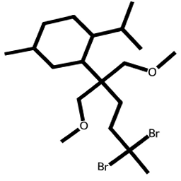 COCC(CCC(C)(Br)Br)(COC)C1CC(C)CCC1C(C)C